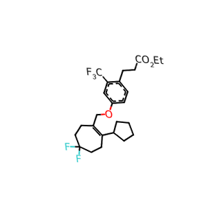 CCOC(=O)CCc1ccc(OCC2=C(C3CCCC3)CCC(F)(F)CC2)cc1C(F)(F)F